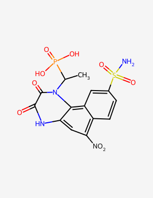 CC(n1c(=O)c(=O)[nH]c2cc([N+](=O)[O-])c3ccc(S(N)(=O)=O)cc3c21)P(=O)(O)O